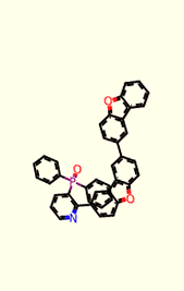 O=P(c1ccccc1)(c1ccccc1)c1cccnc1-c1ccc2oc3ccc(-c4ccc5oc6ccccc6c5c4)cc3c2c1